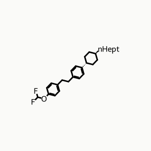 CCCCCCC[C@H]1CC[C@H](c2ccc(CCc3ccc(OC(F)F)cc3)cc2)CC1